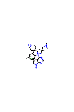 Cc1ccc2c(c1)C1(CCNCC1)C[N+]2(CC(C)(C)CN(C)C)c1ncnc2[nH]cc(Cl)c12